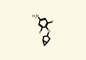 Nc1cc(F)c(OC2CC3CC3C2)c(F)c1